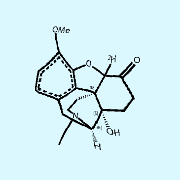 [2H]C12Oc3c(OC)ccc4c3[C@@]13CCN(C)[C@H](C4)[C@]3(O)CCC2=O